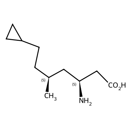 C[C@@H](CCC1CC1)C[C@H](N)CC(=O)O